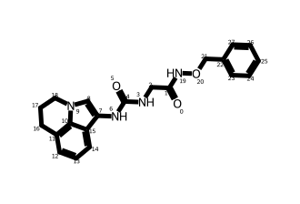 O=C(CNC(=O)Nc1cn2c3c(cccc13)CCC2)NOCc1ccccc1